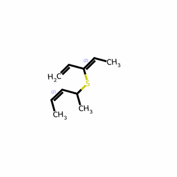 C=C/C(=C/C)SC(C)/C=C\C